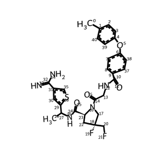 Cc1ccc(Oc2ccc(C(=O)NCC(=O)N3C[C@@](F)(CF)C[C@H]3C(=O)NC(C)c3cc(C(=N)N)cs3)cc2)cc1